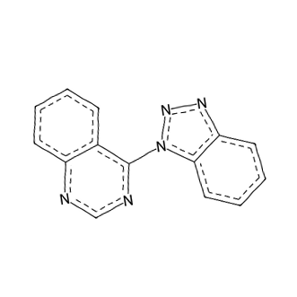 c1ccc2c(-n3nnc4ccccc43)ncnc2c1